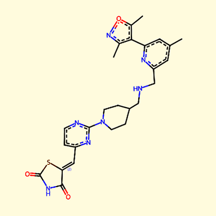 Cc1cc(CNCC2CCN(c3nccc(/C=C4\SC(=O)NC4=O)n3)CC2)nc(-c2c(C)noc2C)c1